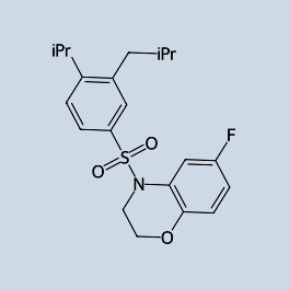 CC(C)Cc1cc(S(=O)(=O)N2CCOc3ccc(F)cc32)ccc1C(C)C